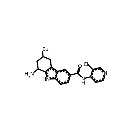 CCC(C)C1Cc2c([nH]c3ccc(C(=O)Nc4ccncc4Cl)cc23)C(N)C1